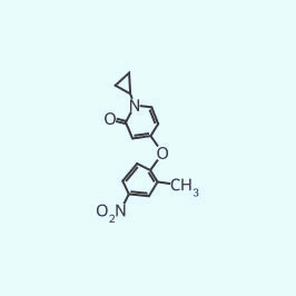 Cc1cc([N+](=O)[O-])ccc1Oc1ccn(C2CC2)c(=O)c1